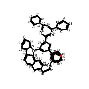 c1ccc(-c2cc(-c3nc(-c4ccccc4)cc(-c4ccccc4)n3)cc(-n3c4ccccc4c4ccc5cc6ccn(-c7ccccc7)c6cc5c43)c2)cc1